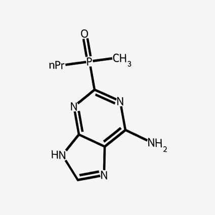 CCCP(C)(=O)c1nc(N)c2nc[nH]c2n1